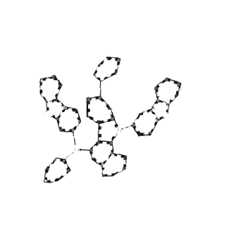 c1ccc(-c2ccc3c4c(N(c5ccccc5)c5ccc6c(c5)oc5ccccc56)cc5ccccc5c4n(-c4ccc5sc6ccccc6c5c4)c3c2)cc1